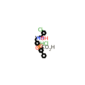 C[C@H](Cc1ccc(S(=O)(=O)c2ccc(C3CCCCC3)cc2C(=O)O)cc1)NC[C@H](O)c1cccc(Cl)c1.Cl